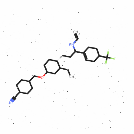 C=CNC(CC[C@H]1CCC(OCC2CCC(C#N)CC2)CC1CC)C1=CCC(C(F)(F)F)CC1